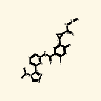 Cc1cc(F)c(C(=O)Nc2cccc(-c3nncn3C(C)C)n2)cc1C1CC1C(=O)N=[N+]=[N-]